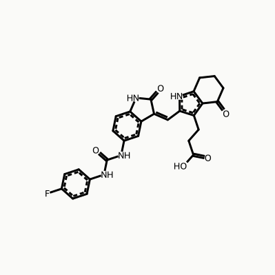 O=C(O)CCc1c(/C=C2\C(=O)Nc3ccc(NC(=O)Nc4ccc(F)cc4)cc32)[nH]c2c1C(=O)CCC2